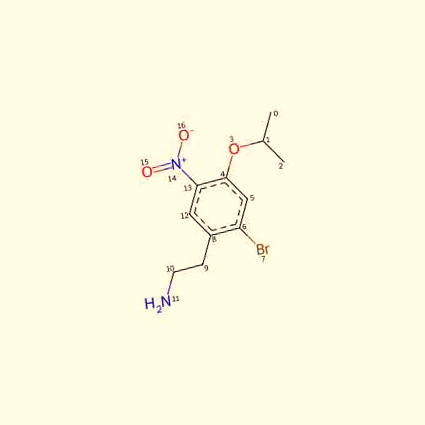 CC(C)Oc1cc(Br)c(CCN)cc1[N+](=O)[O-]